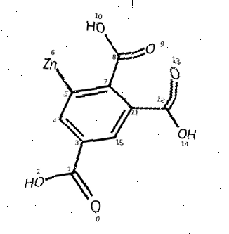 O=C(O)c1c[c]([Zn])c(C(=O)O)c(C(=O)O)c1